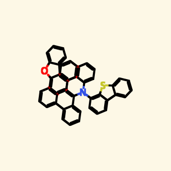 c1ccc(-c2c(N(c3ccccc3-c3cccc4oc5ccccc5c34)c3cccc4c3sc3ccccc34)c3ccccc3c3ccccc23)cc1